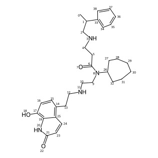 CC(CNCCC(=O)N(CCNCCc1ccc(O)c2[nH]c(=O)ccc12)C1CCCCCC1)c1ccccc1